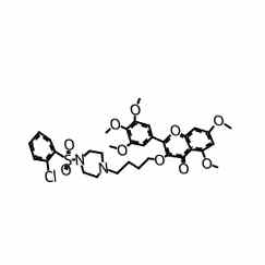 COc1cc(OC)c2c(=O)c(OCCCCN3CCN(S(=O)(=O)c4ccccc4Cl)CC3)c(-c3cc(OC)c(OC)c(OC)c3)oc2c1